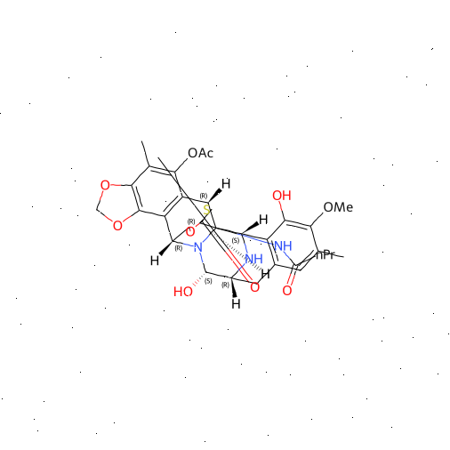 CCCC(=O)N[C@H]1CS[C@@H]2c3c(OC(C)=O)c(C)c4c(c3[C@H](COC1=O)N1C2[C@H]2N[C@H](Cc3cc(C)c(OC)c(O)c32)[C@@H]1O)OCO4